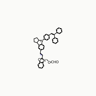 O=COC[n+]1c(/C=C/c2ccc3c(c2)C2CCCC2N3c2ccc(C=C(c3ccccc3)c3ccccc3)cc2)oc2ccccc21